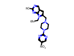 CC(C)(C)Cn1c(CN2CCN(c3ncc([N+](=O)[O-])cn3)CC2)cc2cnc(C#N)nc21